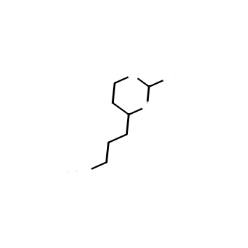 CCCCCCCCCCC1CCOC(C=O)O1